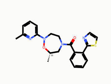 Cc1cccc(N2CCN(C(=O)c3ccccc3-c3nccs3)C[C@H](C)O2)n1